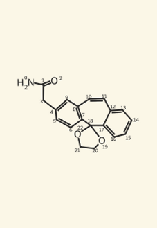 NC(=O)Cc1ccc2c(c1)C=Cc1ccccc1C21OCCO1